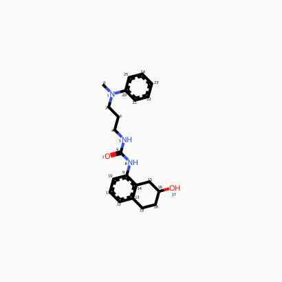 CN(CCCNC(=O)Nc1cccc2c1CC(O)CC2)c1ccccc1